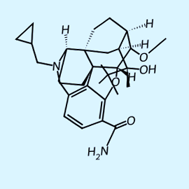 COC1[C@@H]2CC[C@@]3(C[C@@H]2[C@](C)(O)C(C)(C)C)[C@H]2Cc4ccc(C(N)=O)c5c4[C@@]3(CCN2CC2CC2)[C@H]1O5